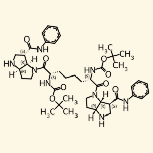 CC(C)(C)OC(=O)N[C@@H](CCCC[C@H](NC(=O)OC(C)(C)C)C(=O)N1CC[C@H]2NC[C@H](C(=O)Nc3ccccc3)[C@H]21)C(=O)N1CC[C@H]2NC[C@H](C(=O)Nc3ccccc3)[C@H]21